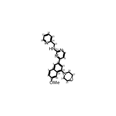 COc1ccc2cc(-c3ccnc(NCc4ccccn4)n3)cc(N3CCOCC3)c2c1